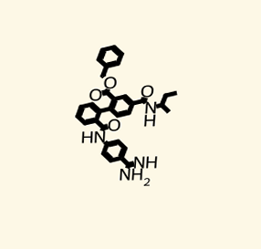 CCC(C)NC(=O)c1ccc(-c2ccccc2C(=O)Nc2ccc(C(=N)N)cc2)c(C(=O)OCc2ccccc2)c1